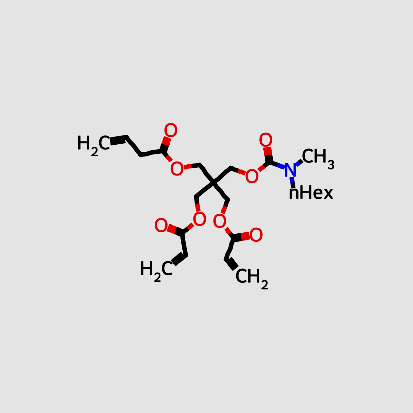 C=CCC(=O)OCC(COC(=O)C=C)(COC(=O)C=C)COC(=O)N(C)CCCCCC